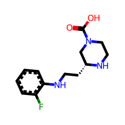 O=C(O)N1CCN[C@H](CCNc2ccccc2F)C1